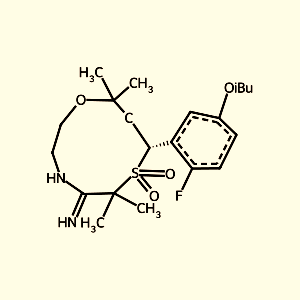 CC(C)COc1ccc(F)c([C@H]2CC(C)(C)OCCNC(=N)C(C)(C)S2(=O)=O)c1